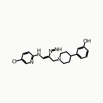 N=N/C(=C\Nc1ccc(Cl)cn1)CN1CCC(c2cccc(O)c2)CC1